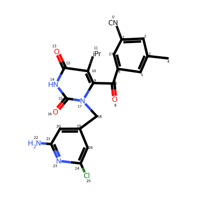 [C-]#[N+]c1cc(C)cc(C(=O)c2c(C(C)C)c(=O)[nH]c(=O)n2Cc2cc(N)nc(Cl)c2)c1